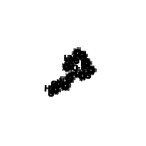 C[C@@H](CC1CCC(Oc2cccc(-c3ccc(N4CCc5cccc(C(=O)Nc6nc7ccccc7s6)c5C4)nc3C(=O)O)c2C(F)(F)F)CC1)CN1CCN(c2cccc3c(C4CCC(=O)NC4=O)nn(C)c23)CC1